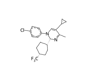 CC1=NC([C@H]2CC[C@@H](C(F)(F)F)CC2)N(c2ccc(Cl)cc2)C=C1C1CC1